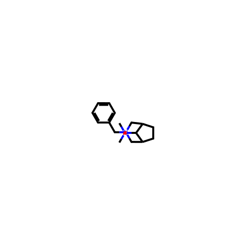 CN(C)C1C2CCC1CN(Cc1ccccc1)C2